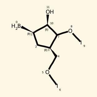 B[C@@H]1C[C@H](COI)C(OI)[C@@H]1O